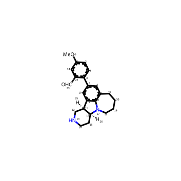 COc1ccc(-c2cc3c4c(c2)[C@@H]2CNCC[C@@H]2N4CCCC3)c(C=O)c1